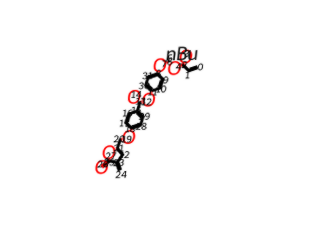 C=CC(=O)OC(CCCC)Oc1ccc(OC(=O)c2ccc(OCC3CC(=C)C(=O)O3)cc2)cc1